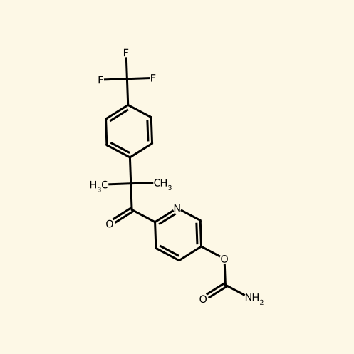 CC(C)(C(=O)c1ccc(OC(N)=O)cn1)c1ccc(C(F)(F)F)cc1